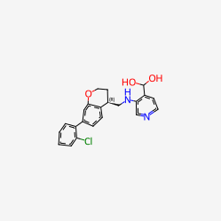 OC(O)c1ccncc1NC[C@@H]1CCOc2cc(-c3ccccc3Cl)ccc21